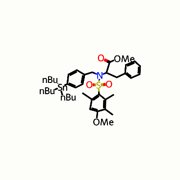 CCC[CH2][Sn]([CH2]CCC)([CH2]CCC)[c]1ccc(CN(C(Cc2ccccc2)C(=O)OC)S(=O)(=O)c2c(C)cc(OC)c(C)c2C)cc1